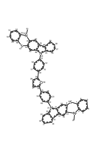 CN1c2ccccc2Sc2cc3c(cc21)c1ccccc1n3-c1ccc(-c2ccc(-c3ccc(-n4c5ccccc5c5cc6c(cc54)Sc4ccccc4N6C)cc3)o2)cc1